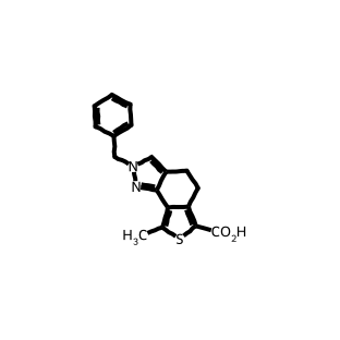 Cc1sc(C(=O)O)c2c1-c1nn(Cc3ccccc3)cc1CC2